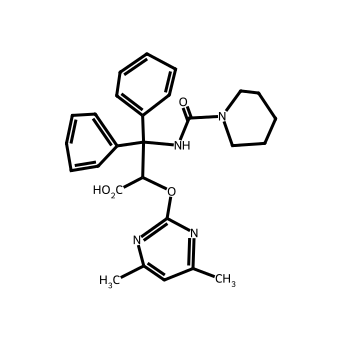 Cc1cc(C)nc(OC(C(=O)O)C(NC(=O)N2CCCCC2)(c2ccccc2)c2ccccc2)n1